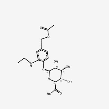 CCNc1cc(COC(C)=O)ccc1O[C@@H]1O[C@H](C(=O)O)[C@@H](O)[C@H](O)[C@H]1O